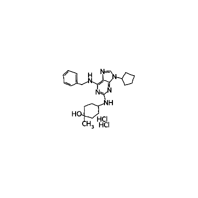 CC1(O)CCC(Nc2nc(NCc3ccccc3)c3ncn(C4CCCC4)c3n2)CC1.Cl.Cl